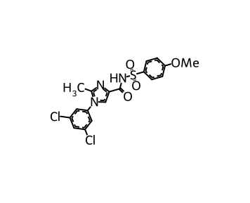 COc1ccc(S(=O)(=O)NC(=O)c2cn(-c3cc(Cl)cc(Cl)c3)c(C)n2)cc1